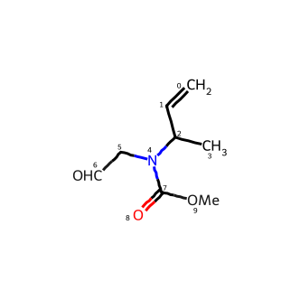 C=CC(C)N(CC=O)C(=O)OC